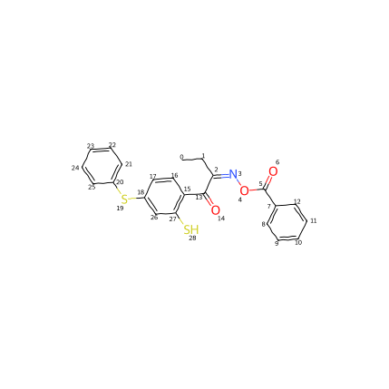 CCC(=NOC(=O)c1ccccc1)C(=O)c1ccc(Sc2ccccc2)cc1S